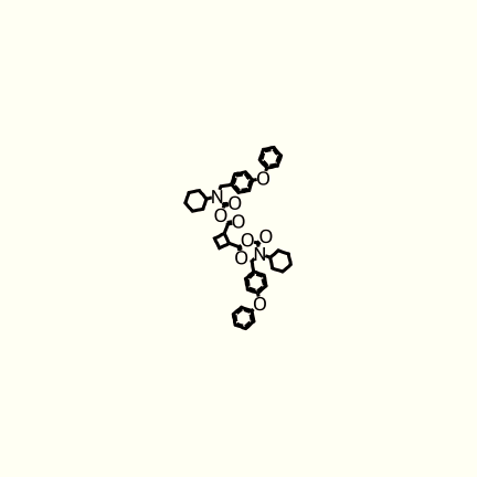 O=C(OC(=O)N(Cc1ccc(Oc2ccccc2)cc1)C1CCCCC1)C1CCC1C(=O)OC(=O)N(Cc1ccc(Oc2ccccc2)cc1)C1CCCCC1